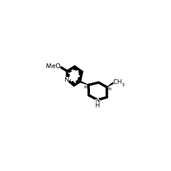 COc1ccc([C@@H]2CNC[C@H](C)C2)cn1